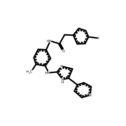 Cc1ccc(NC(=O)Cc2ccc(F)cc2)cc1Nc1ncc(-c2ccncc2)[nH]1